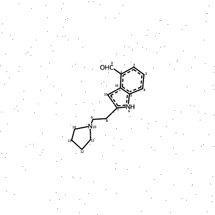 O=Cc1cccc2[nH]c(CCN3CCCC3)cc12